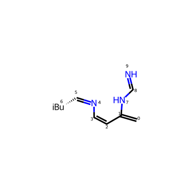 C=C(/C=C\N=C/[C@@H](C)CC)NC=N